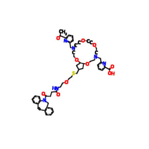 CC(=O)c1cccc(CN2CCOCCOCCN(Cc3cccc(C(=O)O)n3)CCOC3CC(CSCCOCCNC(=O)CCC(=O)N4Cc5ccccc5C#Cc5ccccc54)CC3OCC2)n1